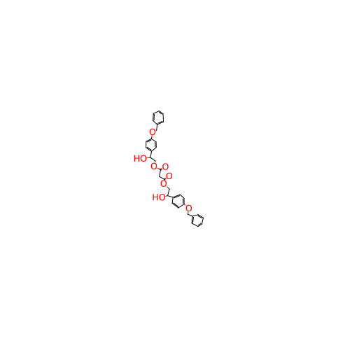 O=C(CC(=O)OCC(O)c1ccc(OCc2ccccc2)cc1)OCC(O)c1ccc(OCc2ccccc2)cc1